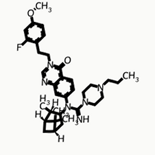 CCCN1CCN(C(=N)N(c2ccc3c(=O)n(CCc4ccc(OC)cc4F)cnc3c2)C2C[C@@H]3C[C@H]([C@@H]2C)C3(C)C)CC1